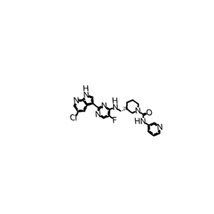 O=C(Nc1cccnc1)N1CCC[C@@H](CNc2nc(-c3c[nH]c4ncc(Cl)cc34)ncc2F)C1